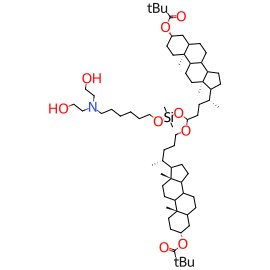 C[C@H](CCCOC(CC[C@@H](C)C1CCC2C3CCC4C[C@H](OC(=O)C(C)(C)C)CC[C@]4(C)C3CC[C@@]21C)O[Si](C)(C)OCCCCCCN(CCO)CCO)C1CCC2C3CCC4C[C@H](OC(=O)C(C)(C)C)CC[C@]4(C)C3CC[C@@]21C